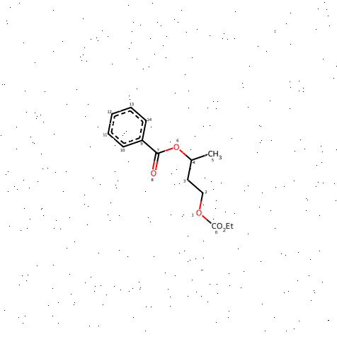 CCOC(=O)OCCC(C)OC(=O)c1ccccc1